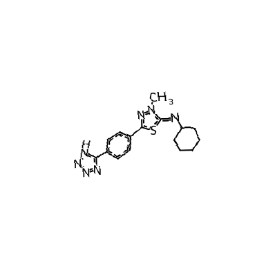 Cn1nc(-c2ccc(-c3nnn[nH]3)cc2)s/c1=N\C1CCCCC1